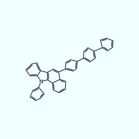 c1ccc(-c2ccc(-c3ccc(-c4cc5c6ccccc6n(-c6ccccc6)c5c5ccccc45)cc3)cc2)cc1